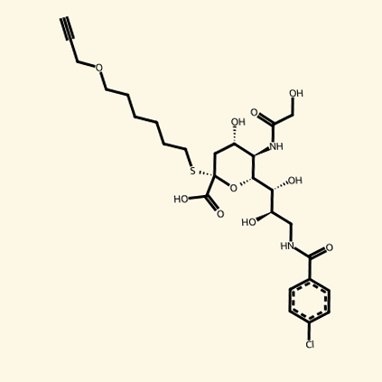 C#CCOCCCCCCS[C@]1(C(=O)O)C[C@H](O)[C@@H](NC(=O)CO)[C@H]([C@H](O)[C@H](O)CNC(=O)c2ccc(Cl)cc2)O1